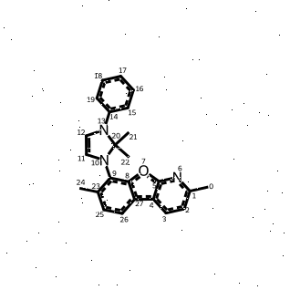 Cc1ccc2c(n1)oc1c(N3C=CN(c4ccccc4)C3(C)C)c(C)ccc12